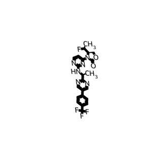 C[C@H](Nc1nccc(N2C(=O)OC[C@@H]2[C@H](C)F)n1)c1ncc(-c2ccc(C(F)(F)F)cc2)cn1